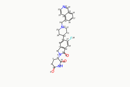 O=C1CCC(N2Cc3cc(C4CCN(Cc5cccc6cnccc56)CC4)c(F)cc3C2=O)C(=O)N1